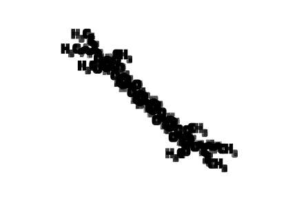 CCCCC(CCCC)COc1cc(OC)c(C(=O)Oc2ccc(C(=O)Oc3ccc(-c4ccc(OC(=O)c5ccc(OC(=O)c6cc(OC)c(OCC(CCCC)CCCC)cc6OC)cc5)cc4)cc3)cc2)cc1OC